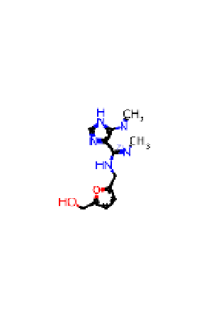 C=Nc1[nH]cnc1/C(=N\C)NCc1ccc(CO)o1